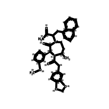 C[C@@H]1CCN(C(Cc2cccc3ccccc23)C(N)=O)C(=O)[C@H](c2cccc(OC(F)(F)F)c2)N1C(=O)Cc1ccc2c(c1)OCO2